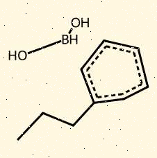 CCCc1ccccc1.OBO